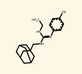 N#Cc1ccc(N=C(NCC(=O)O)NCC23CC4CC(CC(C4)C2)C3)cc1